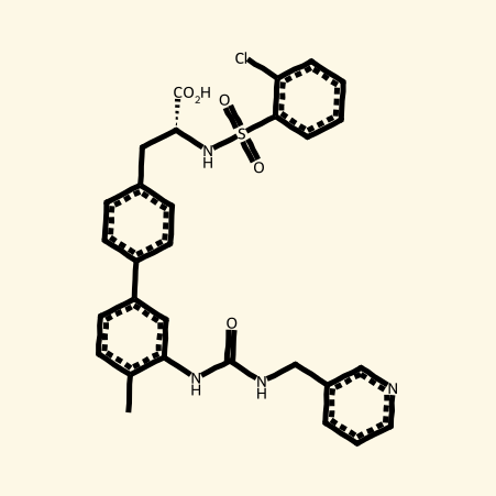 Cc1ccc(-c2ccc(C[C@@H](NS(=O)(=O)c3ccccc3Cl)C(=O)O)cc2)cc1NC(=O)NCc1cccnc1